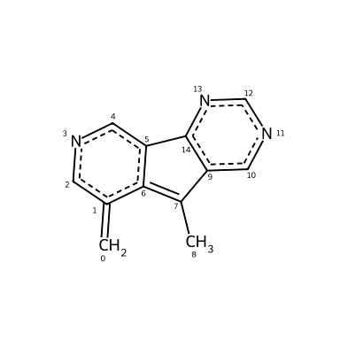 C=c1cncc2c1=C(C)c1cncnc1-2